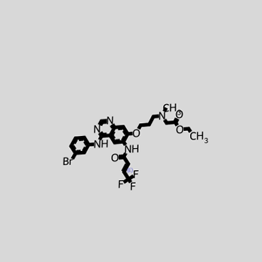 CCOC(=O)CN(C)CCCOc1cc2ncnc(Nc3cccc(Br)c3)c2cc1NC(=O)/C=C/C(F)(F)F